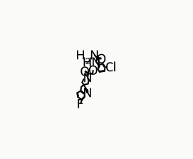 N#CC1(Cc2ccc(F)cc2)CCN(C(=O)COc2ccc(Cl)cc2NC(N)=O)CC1